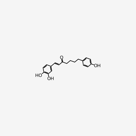 O=C(C=Cc1ccc(O)c(O)c1)CCCCc1ccc(O)cc1